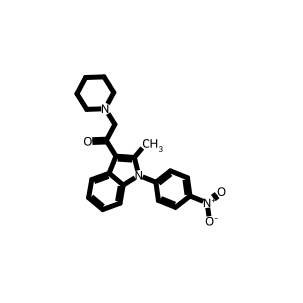 Cc1c(C(=O)CN2CCCCC2)c2ccccc2n1-c1ccc([N+](=O)[O-])cc1